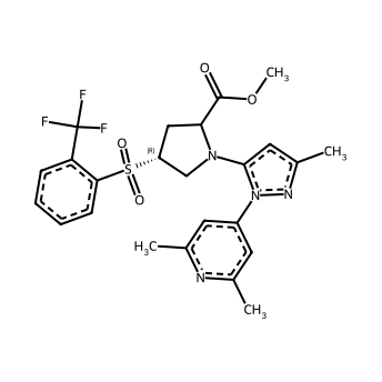 COC(=O)C1C[C@@H](S(=O)(=O)c2ccccc2C(F)(F)F)CN1c1cc(C)nn1-c1cc(C)nc(C)c1